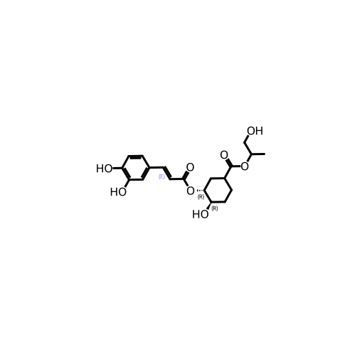 CC(CO)OC(=O)C1CC[C@@H](O)[C@H](OC(=O)/C=C/c2ccc(O)c(O)c2)C1